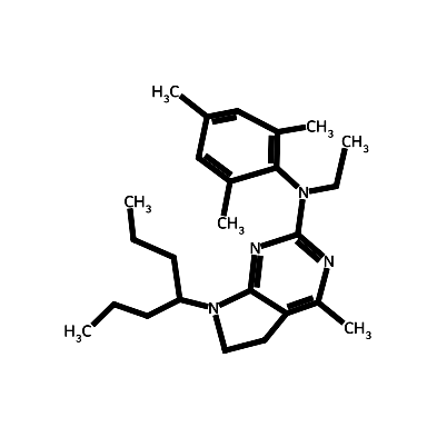 CCCC(CCC)N1CCc2c(C)nc(N(CC)c3c(C)cc(C)cc3C)nc21